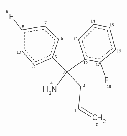 C=CCC(N)(c1ccc(F)cc1)c1ccccc1F